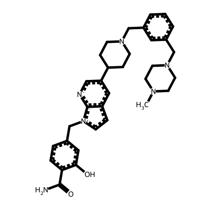 CN1CCN(Cc2cccc(CN3CCC(c4cnc5c(ccn5Cc5ccc(C(N)=O)c(O)c5)c4)CC3)c2)CC1